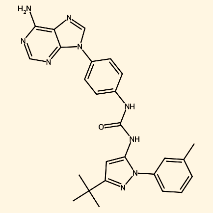 Cc1cccc(-n2nc(C(C)(C)C)cc2NC(=O)Nc2ccc(-n3cnc4c(N)ncnc43)cc2)c1